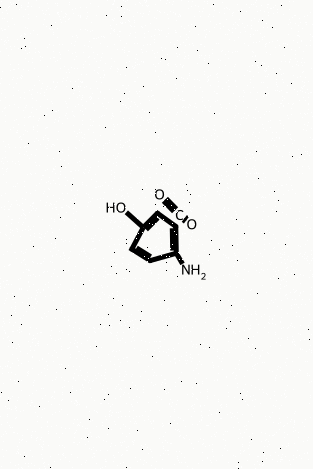 Nc1ccc(O)cc1.O=C=O